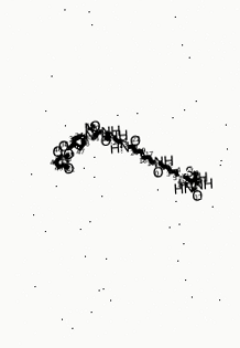 O=C(CCCC[C@@H]1SC[C@@H]2NC(=O)N[C@@H]21)NCCCCCC(=O)NCCNC(=O)Nc1c[n+](-c2ccc(C(=O)ON3C(=O)CCC3=O)cc2)no1